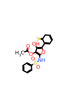 CC(=O)Oc1c(NS(=O)(=O)c2ccccc2)oc(C2=CC=CCC2=S)c1O